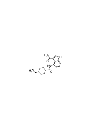 NC[C@H]1CC[C@H](C(=O)Nc2ccnc3[nH]cc(C(N)=O)c23)CC1